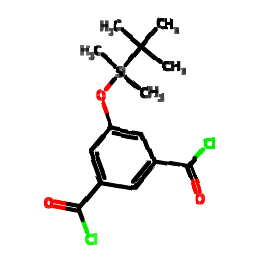 CC(C)(C)[Si](C)(C)Oc1cc(C(=O)Cl)cc(C(=O)Cl)c1